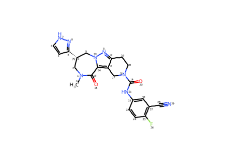 CN1C[C@H](c2cc[nH]n2)Cn2nc3c(c2C1=O)CN(C(=O)Nc1ccc(F)c(C#N)c1)CC3